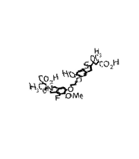 COc1c(OCCCOc2cc3cc(C(=O)CC(C)C(=O)O)sc3cc2O)cc2c(c1F)CN(C(=O)CC(C)C(=O)O)C2